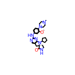 COc1cc(Nc2ncc3c(n2)N(C2CCCC2)[C@]2(CCNC2=O)C3)ccc1N1CCN(C)CC1